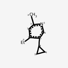 CCc1cc(C)ncc1C1CC1